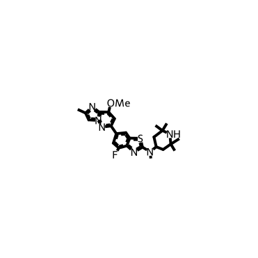 COc1cc(-c2cc(F)c3nc(N(C)C4CC(C)(C)NC(C)(C)C4)sc3c2)nn2cc(C)nc12